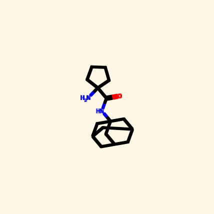 NC1(C(=O)NC23CC4CC(CC(C4)C2)C3)CCCC1